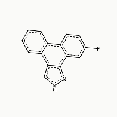 Fc1ccc2c3ccccc3c3c[nH]nc3c2c1